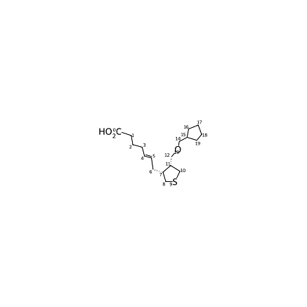 O=C(O)CCCC=CC[C@H]1CSC[C@H]1COCC1CCCC1